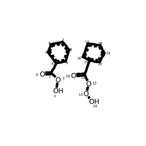 O=C(OO)c1ccccc1.O=C(OOO)c1ccccc1